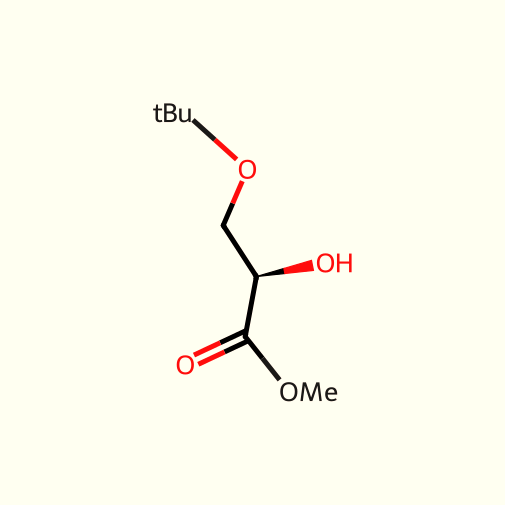 COC(=O)[C@H](O)COC(C)(C)C